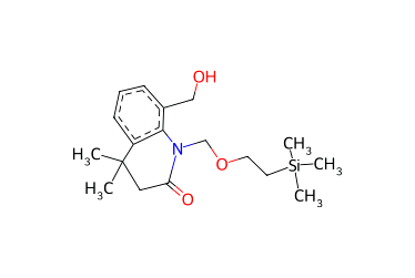 CC1(C)CC(=O)N(COCC[Si](C)(C)C)c2c(CO)cccc21